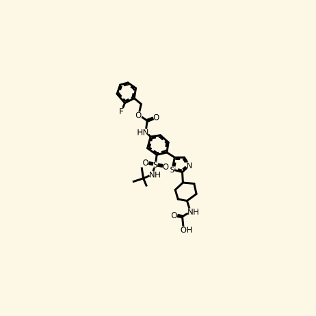 CC(C)(C)NS(=O)(=O)c1cc(NC(=O)OCc2ccccc2F)ccc1-c1cnc(C2CCC(NC(=O)O)CC2)s1